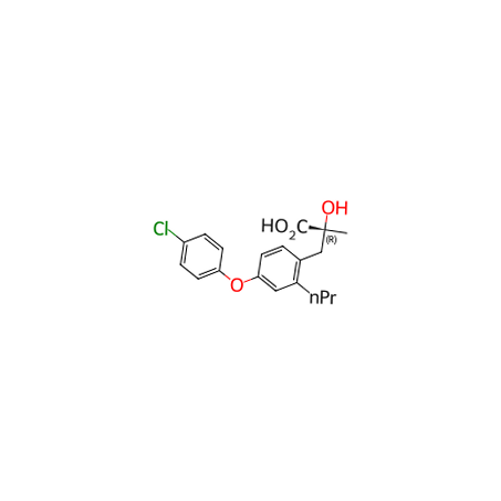 CCCc1cc(Oc2ccc(Cl)cc2)ccc1C[C@@](C)(O)C(=O)O